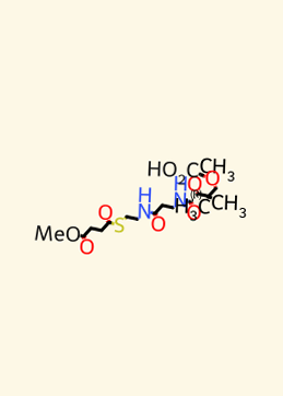 COC(=O)CCC(=O)SCCNC(=O)CCNC(=O)[C@@H]1OC(C)(C(=O)O)OCC1(C)C